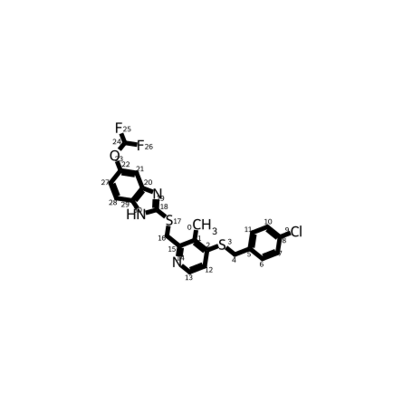 Cc1c(SCc2ccc(Cl)cc2)ccnc1CSc1nc2cc(OC(F)F)ccc2[nH]1